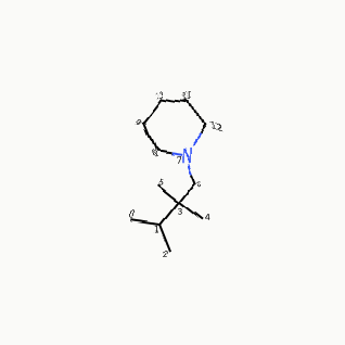 CC(C)C(C)(C)CN1CCCCC1